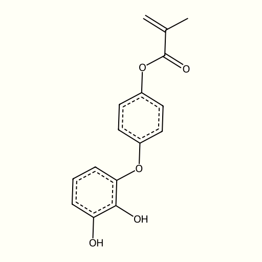 C=C(C)C(=O)Oc1ccc(Oc2cccc(O)c2O)cc1